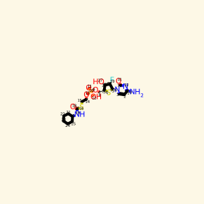 Nc1ccn([C@@H]2S[C@H](COP(=O)(O)OCCSC(=O)NC3CCCCC3)[C@@H](O)[C@@H]2F)c(=O)n1